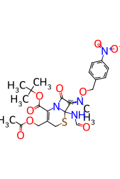 CC(=O)OCC1=C(C(=O)OC(C)(C)C)N2C(=O)[C@@H](N(C)OCc3ccc([N+](=O)[O-])cc3)C2(NC=O)SC1